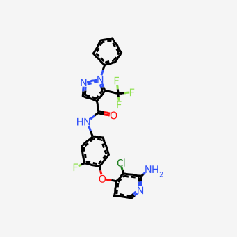 Nc1nccc(Oc2ccc(NC(=O)c3cnn(-c4ccccc4)c3C(F)(F)F)cc2F)c1Cl